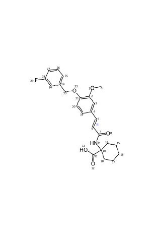 COc1cc(/C=C/C(=O)NC2(C(=O)O)CCCCC2)ccc1OCc1cccc(F)c1